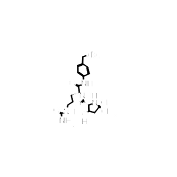 CC1CC(C)(C)N[C@@H]1C(=O)N[C@@H](CCCNC(N)=O)C(=O)Nc1ccc(CC(C)(C)C)cc1